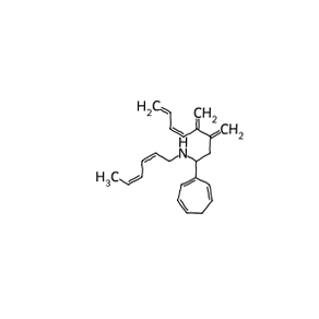 C=C/C=C\C(=C)C(=C)CC(NC/C=C\C=C/C)C1=CC=CCC=C1